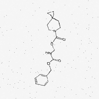 O=C(NCOC(=O)N1CCC2(CC1)CC2)OCc1ccccc1